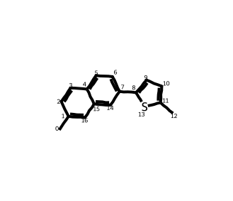 Cc1ccc2ccc(-c3ccc(C)s3)cc2c1